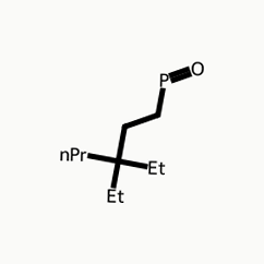 CCCC(CC)(CC)CCP=O